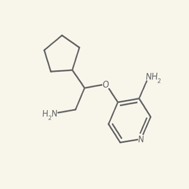 NCC(Oc1ccncc1N)C1CCCC1